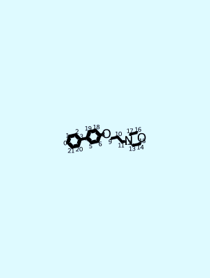 c1ccc(-c2ccc(OCCCN3CCOCC3)cc2)cc1